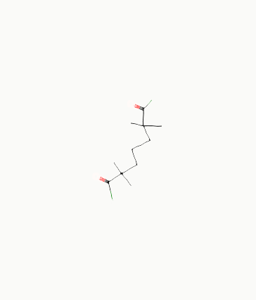 CC(C)(CCCC(C)(C)C(=O)Cl)C(=O)Cl